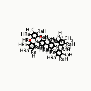 Cc1[c]([RaH])[c]([RaH])c(N(c2[c]([RaH])[c]([RaH])[c]([RaH])[c]([RaH])[c]2[RaH])c2[c]([RaH])[c]([RaH])c(-c3[c]([RaH])[c]([RaH])c(N(c4[c]([RaH])[c]([RaH])c(C)[c]([RaH])[c]4[RaH])c4[c]([RaH])[c]([RaH])[c]([RaH])[c]([RaH])[c]4[RaH])[c]([RaH])[c]3[RaH])[c]([RaH])[c]2[RaH])[c]([RaH])[c]1[RaH]